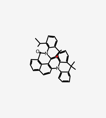 CC(C)c1cccc(C(C)C)c1N1C(=O)c2cccc3ccc(N4c5ccccc5C(C)(C)c5ccccc54)c(c23)C1=O